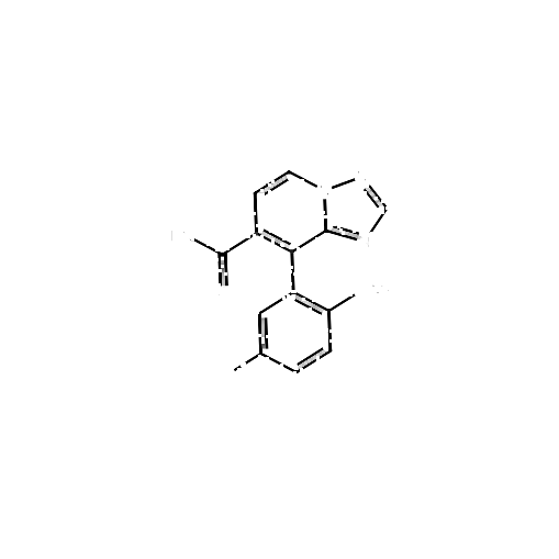 COc1ccc(C(F)(F)F)cc1-c1c(C(N)=O)ccn2n[c]nc12